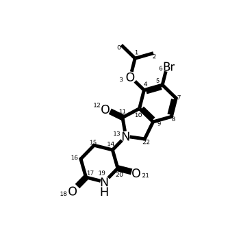 CC(C)Oc1c(Br)ccc2c1C(=O)N(C1CCC(=O)NC1=O)C2